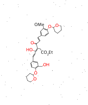 CCOC(=O)C/C(C(=O)/C=C/c1ccc(OC2CCCCO2)c(OC)c1)=C(O)\C=C\c1ccc(OC2CCCCO2)c(CO)c1